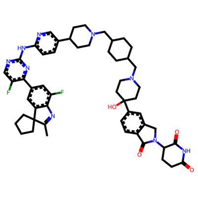 CC1=Nc2c(F)cc(-c3nc(Nc4ccc(C5CCN(CC6CCC(CN7CCC(O)(c8ccc9c(c8)CN(C8CCC(=O)NC8=O)C9=O)CC7)CC6)CC5)cn4)ncc3F)cc2C12CCCC2